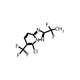 CC(F)(F)c1nc2ccc(C(F)(F)F)c(Cl)n2n1